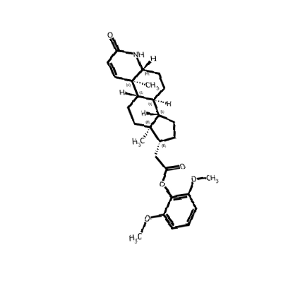 COc1cccc(OC)c1OC(=O)C[C@H]1CC[C@H]2[C@@H]3CC[C@H]4NC(=O)C=C[C@]4(C)[C@H]3CC[C@]12C